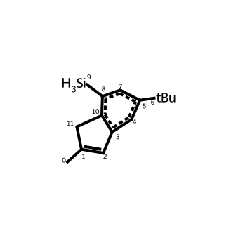 CC1=Cc2cc(C(C)(C)C)cc([SiH3])c2C1